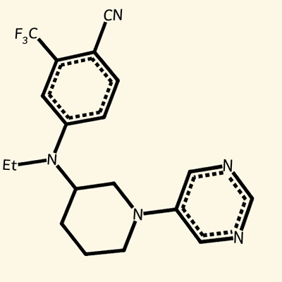 CCN(c1ccc(C#N)c(C(F)(F)F)c1)C1CCCN(c2cncnc2)C1